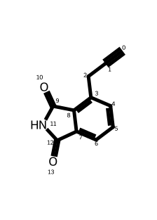 C#CCc1cccc2c1C(=O)NC2=O